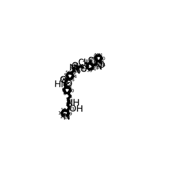 O=S(=O)(Nc1ccc(CCNCC(O)c2cccnc2)cc1)c1ccc(-c2noc(COc3ccc(-c4noc5ccccc45)c(Cl)c3Cl)n2)cc1